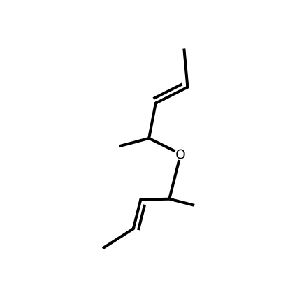 CC=CC(C)OC(C)C=CC